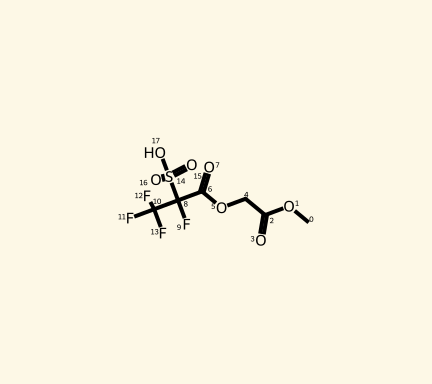 COC(=O)COC(=O)C(F)(C(F)(F)F)S(=O)(=O)O